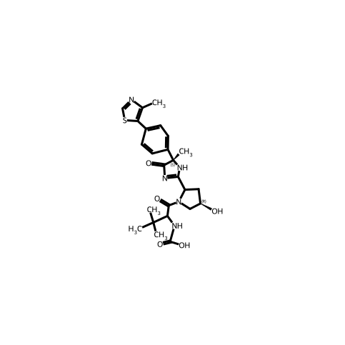 Cc1ncsc1-c1ccc([C@]2(C)NC(C3C[C@@H](O)CN3C(=O)C(NC(=O)O)C(C)(C)C)=NC2=O)cc1